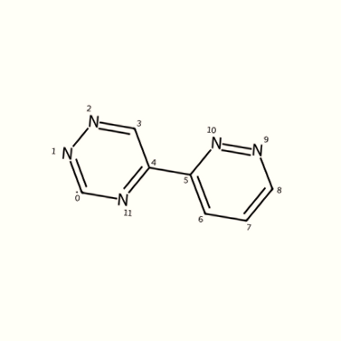 [c]1nncc(-c2cccnn2)n1